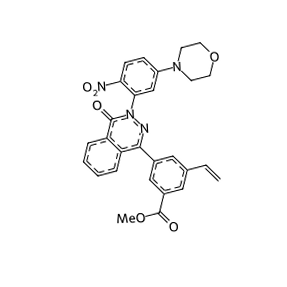 C=Cc1cc(C(=O)OC)cc(-c2nn(-c3cc(N4CCOCC4)ccc3[N+](=O)[O-])c(=O)c3ccccc23)c1